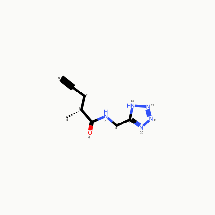 C#CC[C@@H](C)C(=O)NCc1nnn[nH]1